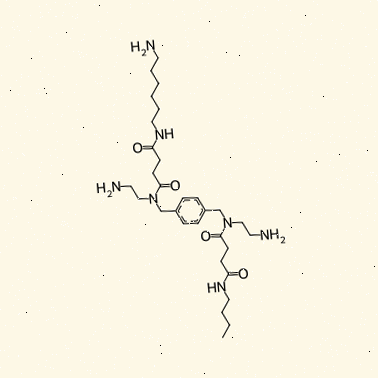 CCCCNC(=O)CCC(=O)N(CCN)Cc1ccc(CN(CCN)C(=O)CCC(=O)NCCCCCCN)cc1